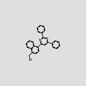 BrCc1ccc(-c2cc(-c3ccccc3)nc(-c3ccccc3)n2)c2ccccc12